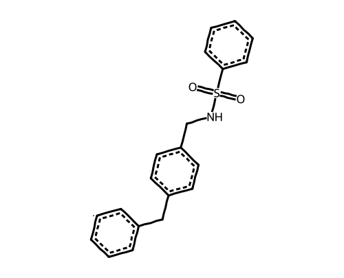 O=S(=O)(NCc1ccc(Cc2c[c]ccc2)cc1)c1ccccc1